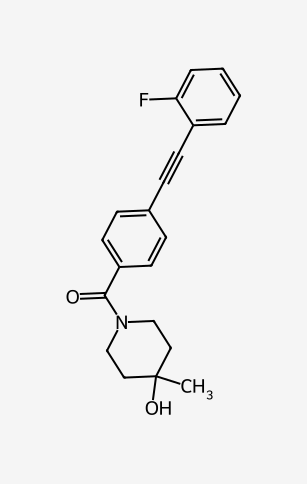 CC1(O)CCN(C(=O)c2ccc(C#Cc3ccccc3F)cc2)CC1